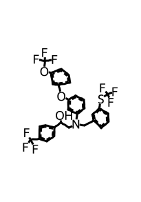 OC(CN(Cc1cccc(SC(F)(F)F)c1)c1cccc(Oc2cccc(OC(F)(F)F)c2)c1)c1ccc(C(F)(F)F)cc1